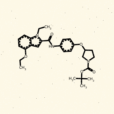 CCOc1cccc2c1cc(C(=O)Nc1ccc(OC3CCN(C(=O)OC(C)(C)C)C3)cc1)n2CC